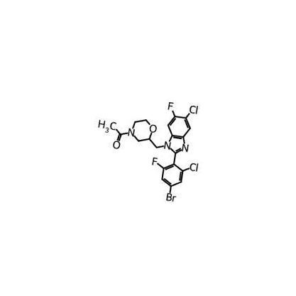 CC(=O)N1CCOC(Cn2c(-c3c(F)cc(Br)cc3Cl)nc3cc(Cl)c(F)cc32)C1